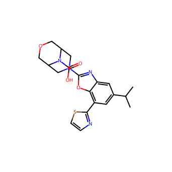 CC(C)c1cc(-c2nccs2)c2oc(N3CC4COCC(C3)N4C(=O)O)nc2c1